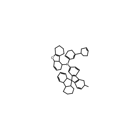 CC1C=CC2=C(C1)c1ccc(N(C3=CCCC(C4CC=CCC4)=C3)C3CC=CC4OC5=C(CCCC5)C43)cc1C21C2C=CC=CC2C2CCCCC21